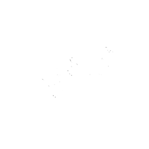 CC[C@@H]1CNC[C@H]1C(=O)N[C@@H](C)c1cccc(OC)c1